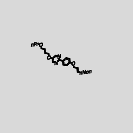 CCCCCCCCCC=CCOc1ccc(-c2ncc(OCCCCOCCC)cn2)cc1